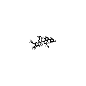 CCOC(=O)C[C@H](NC(=O)C(CCC(C)C)n1cc(CCN(C)C)c(C(F)(F)F)cc1=O)c1cc(-c2c(C)cc(F)cc2C)cc(C)c1F